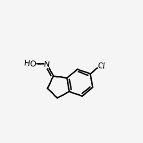 ON=C1CCc2ccc(Cl)cc21